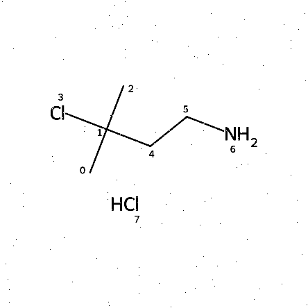 CC(C)(Cl)CCN.Cl